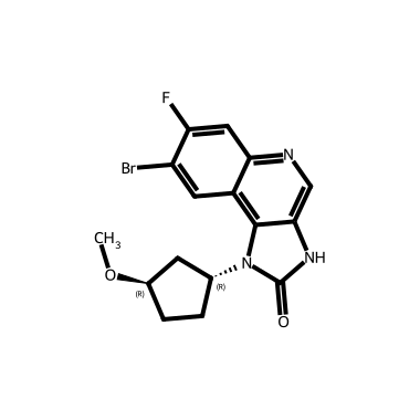 CO[C@@H]1CC[C@@H](n2c(=O)[nH]c3cnc4cc(F)c(Br)cc4c32)C1